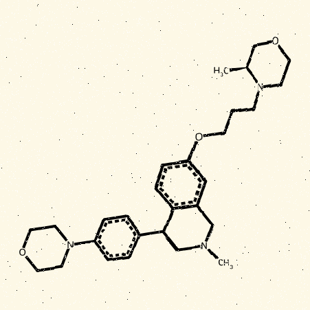 C[C@H]1COCCN1CCCOc1ccc2c(c1)CN(C)CC2c1ccc(N2CCOCC2)cc1